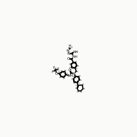 N=C(/N=N\N)NC(=O)c1ccc(CN(C(=O)Nc2ccc(OC(F)(F)F)cc2)c2ccc(C3=CCCCC3)cc2)cc1